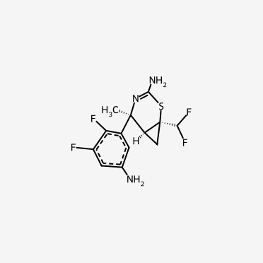 C[C@]1(c2cc(N)cc(F)c2F)N=C(N)S[C@@]2(C(F)F)C[C@@H]12